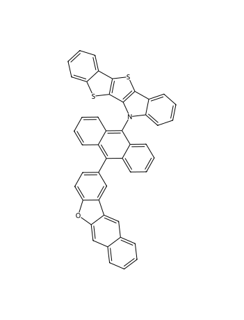 c1ccc2cc3c(cc2c1)oc1ccc(-c2c4ccccc4c(-n4c5ccccc5c5sc6c7ccccc7sc6c54)c4ccccc24)cc13